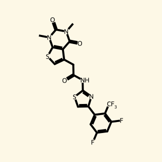 Cn1c(=O)c2c(CC(=O)Nc3nc(-c4cc(F)cc(F)c4C(F)(F)F)cs3)csc2n(C)c1=O